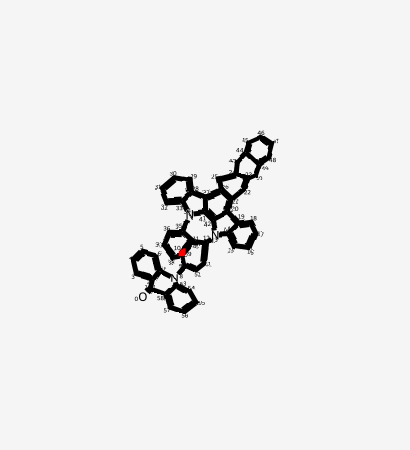 O=c1c2ccccc2n(-c2ccc(-n3c4ccccc4c4c5cc6c(cc5c5c7ccccc7n(-c7ccccc7)c5c43)Cc3ccccc3C6)cc2)c2ccccc12